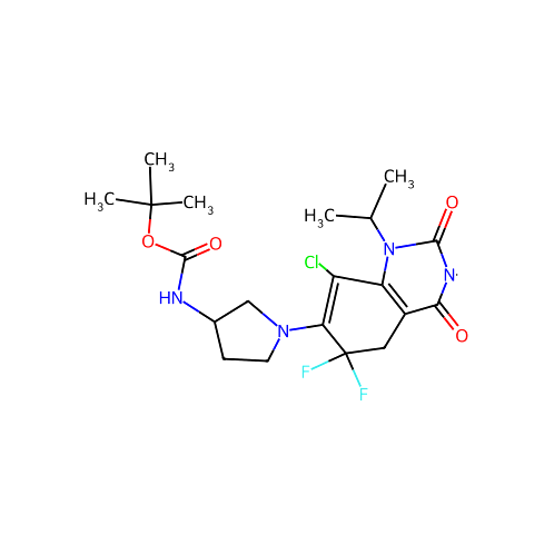 CC(C)N1C(=O)[N]C(=O)C2=C1C(Cl)=C(N1CCC(NC(=O)OC(C)(C)C)C1)C(F)(F)C2